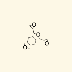 C(OCC1CO1)C1CO1.C1CCCCC1.COC